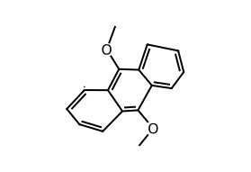 COc1c2[c]cccc2c(OC)c2ccccc12